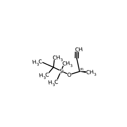 C#C[C@@H](C)O[Si](C)(C)C(C)(C)C